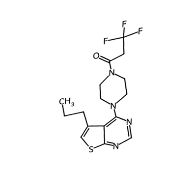 CCCc1csc2ncnc(N3CCN(C(=O)CC(F)(F)F)CC3)c12